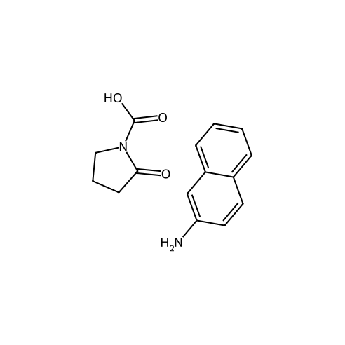 Nc1ccc2ccccc2c1.O=C(O)N1CCCC1=O